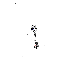 C/C(F)=C(\F)c1ccc(-c2ccc(CCc3ccc(-c4ccc(-c5cc(F)c(F)c(F)c5)c(F)c4)cc3)cc2)cc1